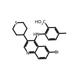 Cc1ccc(Nc2c(C3CCSCC3)cnc3ccc(Br)cc23)c(C(=O)O)c1